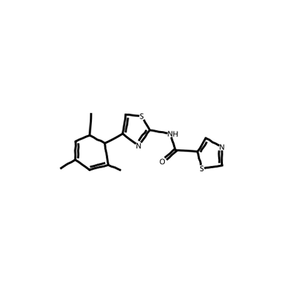 CC1=CC(C)C(c2csc(NC(=O)c3cncs3)n2)C(C)=C1